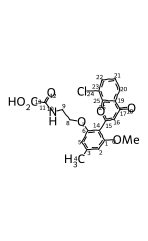 COc1cc(C)cc(OCCNC(=O)C(=O)O)c1-c1cc(=O)c2cccc(Cl)c2o1